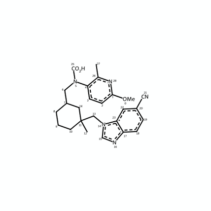 COc1ccc(N(CC2CCCC(C)(Cn3cnc4ccc(C#N)cc43)C2)C(=O)O)c(C)n1